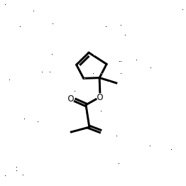 C=C(C)C(=O)OC1(C)CC=CC1